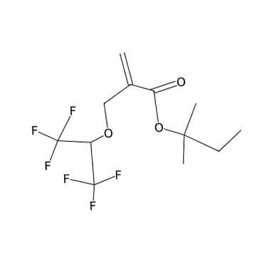 C=C(COC(C(F)(F)F)C(F)(F)F)C(=O)OC(C)(C)CC